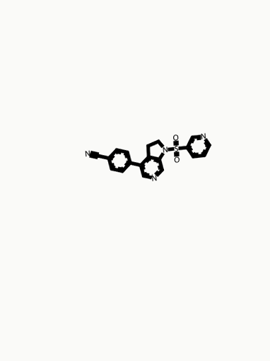 N#Cc1ccc(-c2cncc3c2CCN3S(=O)(=O)c2cccnc2)cc1